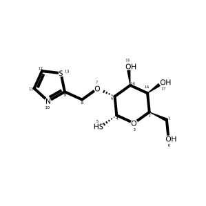 OC[C@H]1O[C@H](S)[C@H](OCc2nccs2)[C@@H](O)[C@H]1O